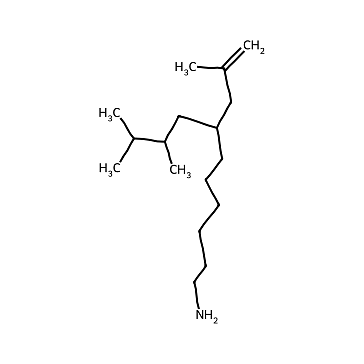 C=C(C)CC(CCCCCCN)CC(C)C(C)C